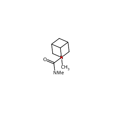 CNC(=O)CC1C2CC1CN(C)C2